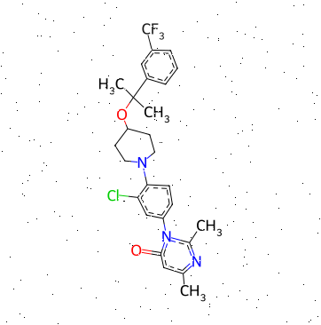 Cc1cc(=O)n(-c2ccc(N3CCC(OC(C)(C)c4cccc(C(F)(F)F)c4)CC3)c(Cl)c2)c(C)n1